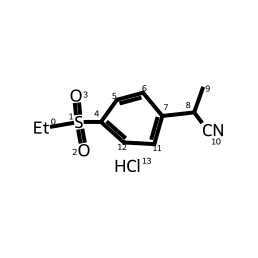 CCS(=O)(=O)c1ccc(C(C)C#N)cc1.Cl